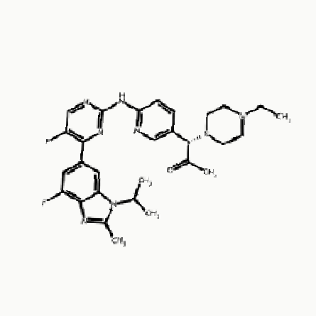 CCN1CCN([C@H](C(C)=O)c2ccc(Nc3ncc(F)c(-c4cc(F)c5nc(C)n(C(C)C)c5c4)n3)nc2)CC1